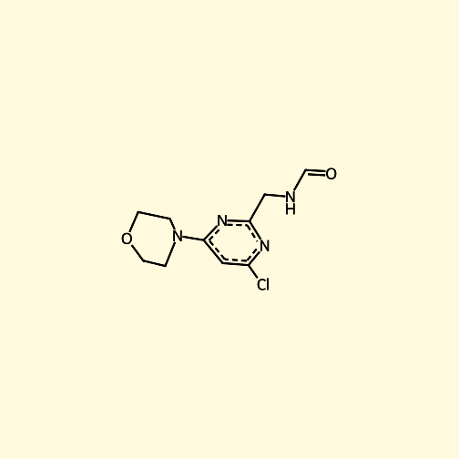 O=CNCc1nc(Cl)cc(N2CCOCC2)n1